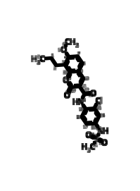 CCCc1c(OC)ccc2cc(C(=O)Nc3ccc(NS(C)(=O)=O)cc3Cl)c(=O)oc12